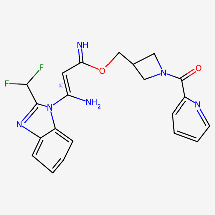 N=C(/C=C(\N)n1c(C(F)F)nc2ccccc21)OCC1CN(C(=O)c2ccccn2)C1